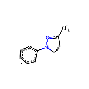 FC(F)(F)C1=NN(c2ccccc2)CC1